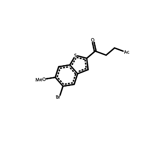 COc1cc2sc(C(=O)CCC(C)=O)cc2cc1Br